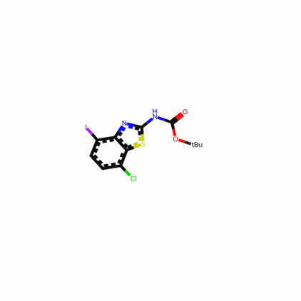 CC(C)(C)OC(=O)Nc1nc2c(I)ccc(Cl)c2s1